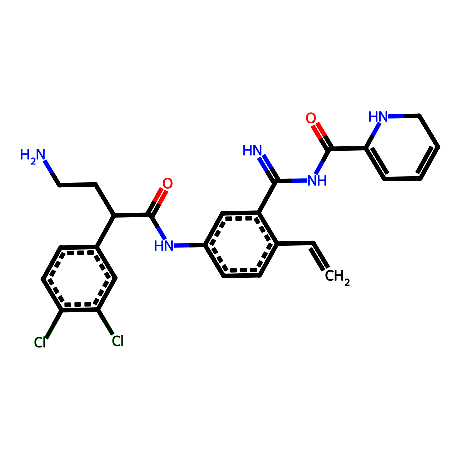 C=Cc1ccc(NC(=O)C(CCN)c2ccc(Cl)c(Cl)c2)cc1C(=N)NC(=O)C1=CC=CCN1